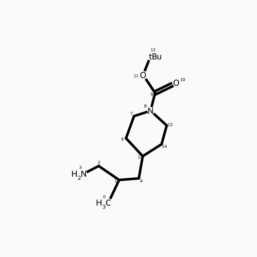 CC(CN)CC1CCN(C(=O)OC(C)(C)C)CC1